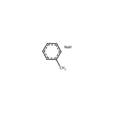 Cc1[c]cccc1.[NaH]